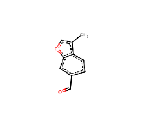 Cc1coc2cc(C=O)ccc12